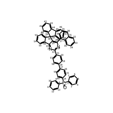 O=P(c1ccccc1)(c1ccccc1)c1ccc(-c2ccc(-c3nc4c(c(-c5cccc6ccccc56)n3)C3(c5ccccc5-c5ccccc53)c3ccccc3-4)cc2)cc1